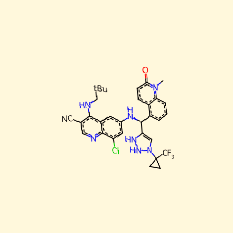 Cn1c(=O)ccc2c([C@H](Nc3cc(Cl)c4ncc(C#N)c(NCC(C)(C)C)c4c3)C3=CN(C4(C(F)(F)F)CC4)NN3)cccc21